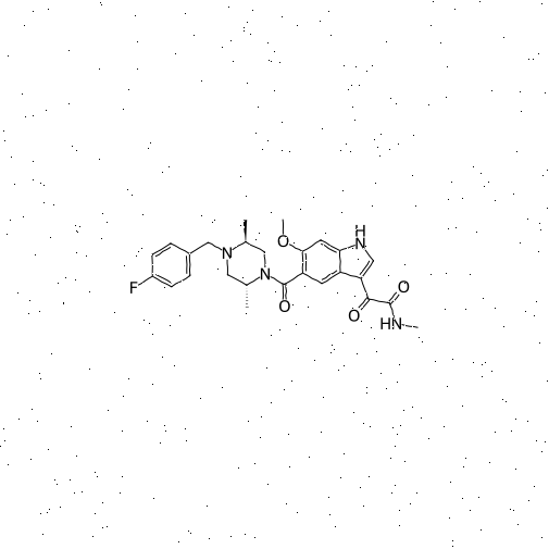 CNC(=O)C(=O)c1c[nH]c2cc(OC)c(C(=O)N3C[C@H](C)N(Cc4ccc(F)cc4)C[C@H]3C)cc12